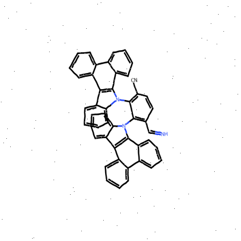 N#Cc1ccc(C=N)c(-n2c3ccccc3c3c4ccccc4c4ccccc4c32)c1-n1c2ccccc2c2c3ccccc3c3ccccc3c21